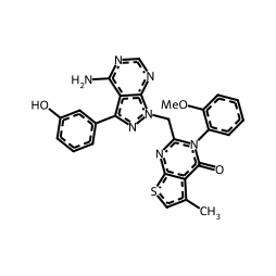 COc1ccccc1-n1c(Cn2nc(-c3cccc(O)c3)c3c(N)ncnc32)nc2scc(C)c2c1=O